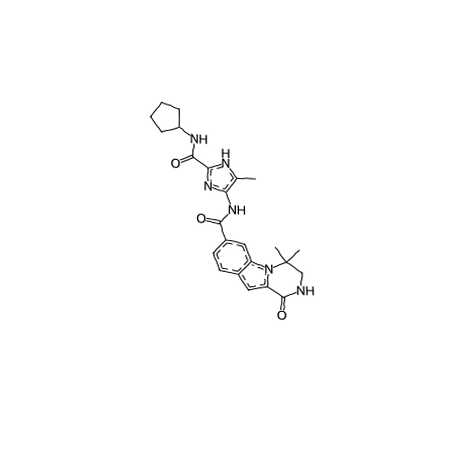 Cc1[nH]c(C(=O)NC2CCCC2)nc1NC(=O)c1ccc2cc3n(c2c1)C(C)(C)CNC3=O